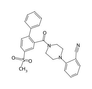 CS(=O)(=O)c1ccc(-c2ccccc2)c(C(=O)N2CCN(c3ccccc3C#N)CC2)c1